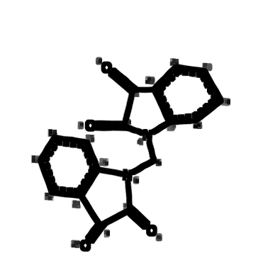 O=C1C(=O)N(CN2C(=O)C(=O)c3ccccc32)c2ccccc21